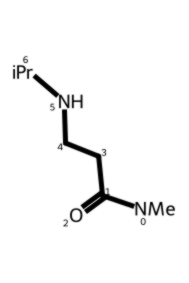 CNC(=O)CCNC(C)C